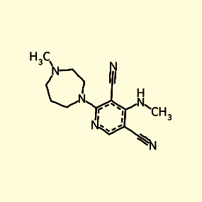 CNc1c(C#N)cnc(N2CCCN(C)CC2)c1C#N